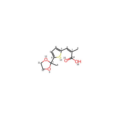 CC(=Cc1ccc(C2(C)OCCO2)s1)C(=O)O